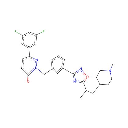 CC(CC1CCN(C)CC1)c1nc(-c2cccc(Cn3nc(-c4cc(F)cc(F)c4)ccc3=O)c2)no1